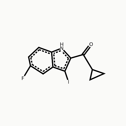 O=C(c1[nH]c2ccc(F)cc2c1I)C1CC1